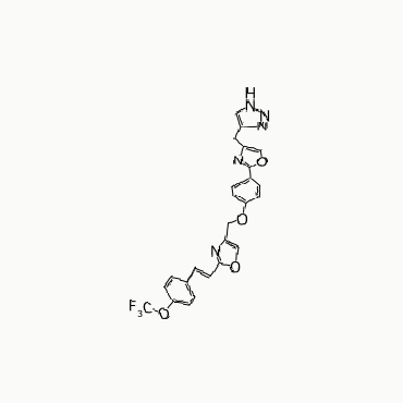 FC(F)(F)Oc1ccc(C=Cc2nc(COc3ccc(-c4nc(Cc5c[nH]nn5)co4)cc3)co2)cc1